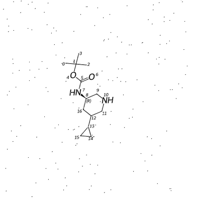 CC(C)(C)OC(=O)N[C@H]1CNCC(C2[CH]C2)C1